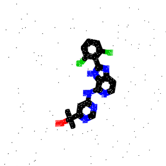 CC(C)(O)c1cc(Nc2nccc3nc(-c4c(Cl)cccc4Cl)[nH]c23)ncn1